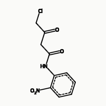 O=C(CCl)CC(=O)Nc1ccccc1[N+](=O)[O-]